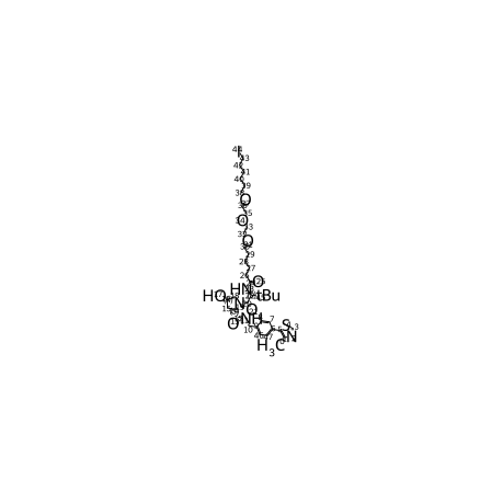 Cc1ncsc1-c1ccc(CNC(=O)[C@@H]2C[C@@H](O)CN2C(=O)[C@@H](NC(=O)CCCCCOCCOCCOCCCCCCI)C(C)(C)C)cc1